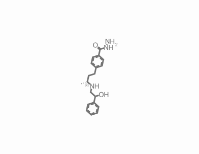 C[C@H](CCc1ccc(C(=O)NN)cc1)NCC(O)c1ccccc1